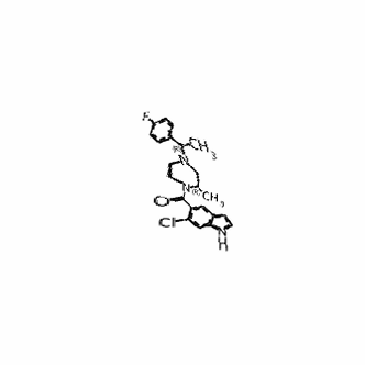 C[C@H](c1ccc(F)cc1)N1CCN(C(=O)c2cc3cc[nH]c3cc2Cl)[C@H](C)C1